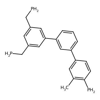 Cc1cc(-c2cccc(-c3cc(CP)cc(CP)c3)c2)ccc1P